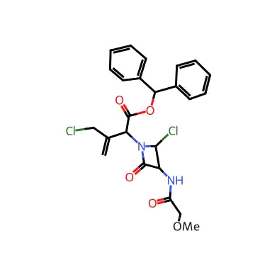 C=C(CCl)C(C(=O)OC(c1ccccc1)c1ccccc1)N1C(=O)C(NC(=O)COC)C1Cl